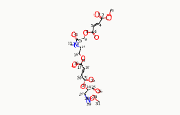 COC(=O)/C=C/C(=O)OCC(=O)N(C)CCOC(=O)/C=C/C(=O)OC(C=O)CN(C)OC